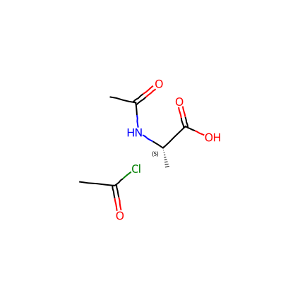 CC(=O)Cl.CC(=O)N[C@@H](C)C(=O)O